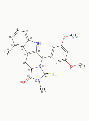 COc1cc(OC)cc(C2c3[nH]c4cccc(C)c4c3CC3C(=O)N(C)C(=S)N32)c1